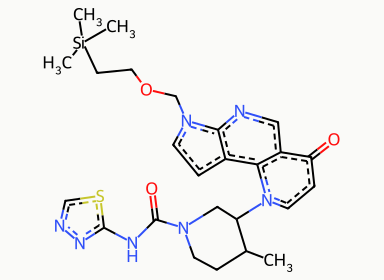 CC1CCN(C(=O)Nc2nncs2)CC1n1ccc(=O)c2cnc3c(ccn3COCC[Si](C)(C)C)c21